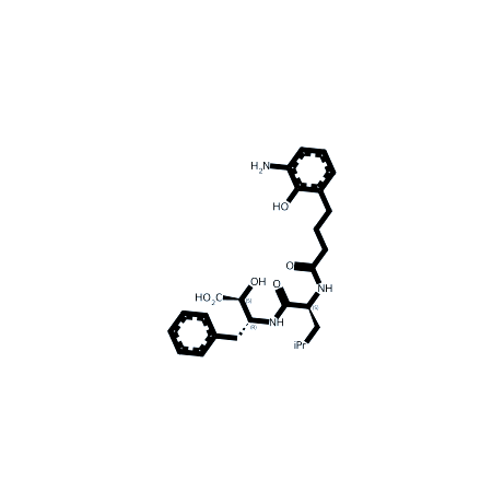 CC(C)C[C@H](NC(=O)CCCc1cccc(N)c1O)C(=O)N[C@H](Cc1ccccc1)[C@H](O)C(=O)O